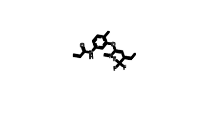 C=CC(=O)Nc1ccc(C)c(O/C(=C/C(=C\C)C(F)(F)F)N=C)c1